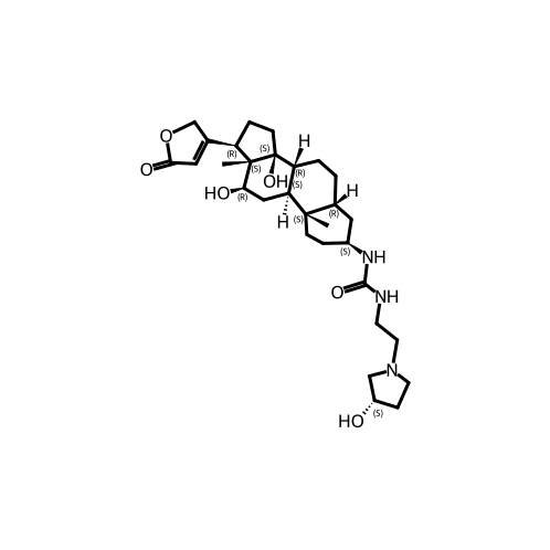 C[C@]12CC[C@H](NC(=O)NCCN3CC[C@H](O)C3)C[C@H]1CC[C@@H]1[C@@H]2C[C@@H](O)[C@]2(C)[C@@H](C3=CC(=O)OC3)CC[C@]12O